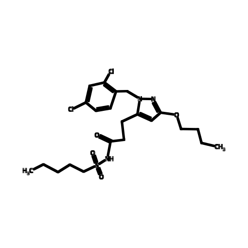 CCCCCS(=O)(=O)NC(=O)CCc1cc(OCCCC)nn1Cc1ccc(Cl)cc1Cl